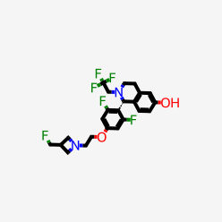 Oc1ccc2c(c1)CCN(CC(F)(F)F)[C@H]2c1c(F)cc(OCCN2CC(CF)C2)cc1F